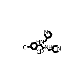 O=C(NCc1ccncc1)C(NCc1cccnc1)c1ccc(Cl)cc1Cl